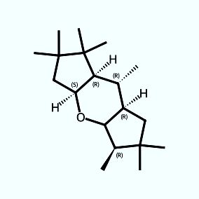 C[C@H]1[C@H]2[C@H](CC(C)(C)C2(C)C)OC2[C@@H]1CC(C)(C)[C@H]2C